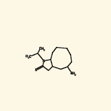 BC1CCCCCC2C(CC(=S)N2C(C)C)C1